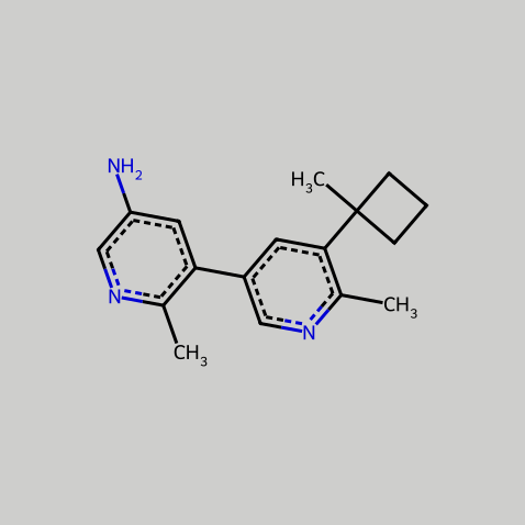 Cc1ncc(N)cc1-c1cnc(C)c(C2(C)CCC2)c1